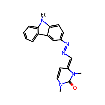 CCn1c2ccccc2c2cc(N=NC=C3C=CN(C)C(=O)N3C)ccc21